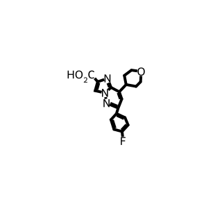 O=C(O)c1cn2nc(-c3ccc(F)cc3)cc(C3CCOCC3)c2n1